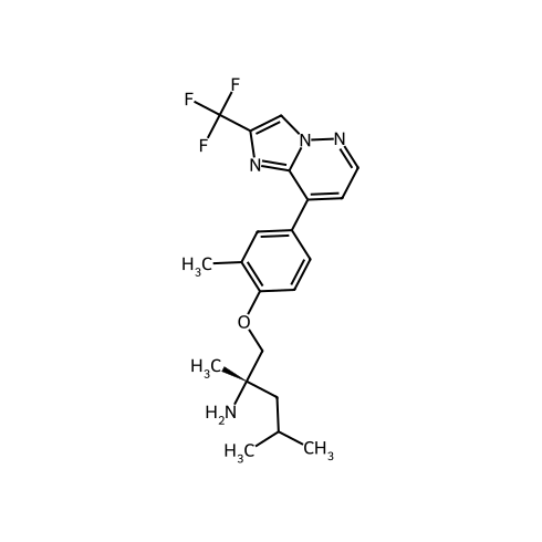 Cc1cc(-c2ccnn3cc(C(F)(F)F)nc23)ccc1OC[C@@](C)(N)CC(C)C